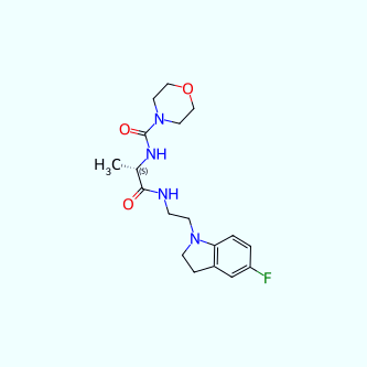 C[C@H](NC(=O)N1CCOCC1)C(=O)NCCN1CCc2cc(F)ccc21